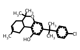 CC1=CCC2C(C1)c1c(O)cc(C(C)(C)c3ccc(Cl)cc3)cc1OC2(C)C